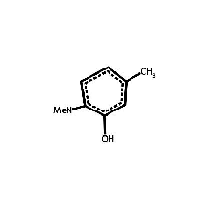 CNc1ccc(C)cc1O